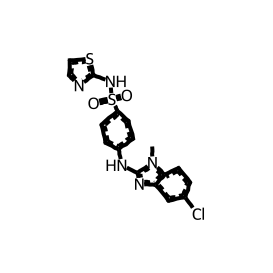 Cn1c(Nc2ccc(S(=O)(=O)Nc3nccs3)cc2)nc2cc(Cl)ccc21